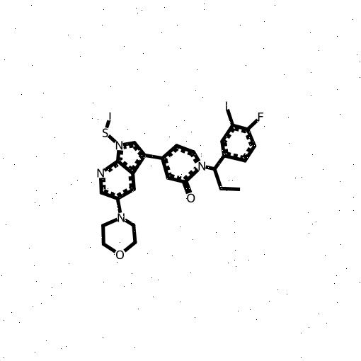 CCC(c1ccc(F)c(I)c1)n1ccc(-c2cn(SI)c3ncc(N4CCOCC4)cc23)cc1=O